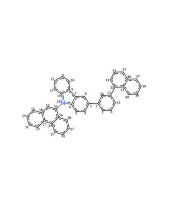 c1cc(-c2ccc3c(c2)c2ccccc2n3-c2cc3ccccc3c3ccccc23)cc(-c2cccc3ccccc23)c1